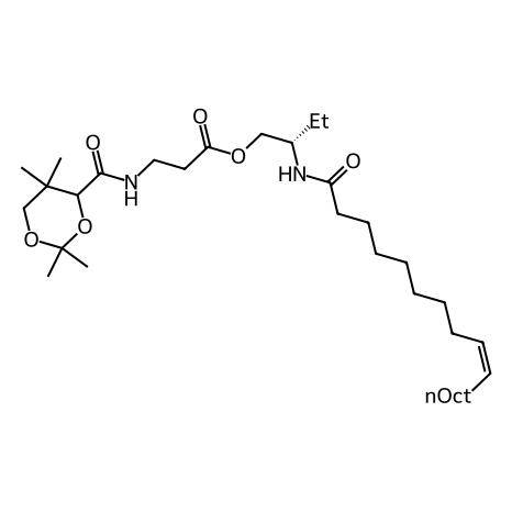 CCCCCCCC/C=C\CCCCCCCC(=O)N[C@@H](CC)COC(=O)CCNC(=O)C1OC(C)(C)OCC1(C)C